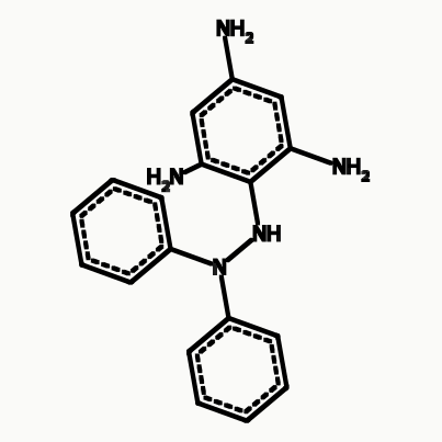 Nc1cc(N)c(NN(c2ccccc2)c2ccccc2)c(N)c1